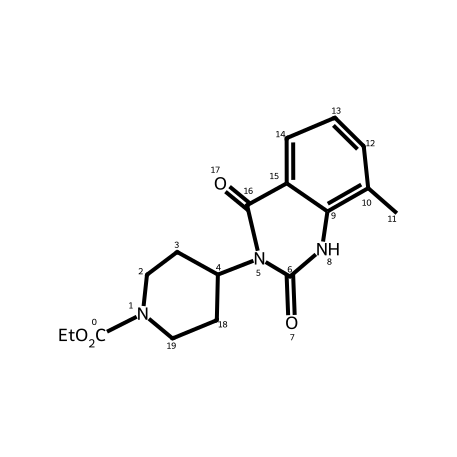 CCOC(=O)N1CCC(n2c(=O)[nH]c3c(C)cccc3c2=O)CC1